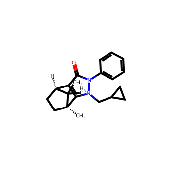 CC1(C)[C@H]2CC[C@]1(C)c1c2c(=O)n(-c2ccccc2)n1CC1CC1